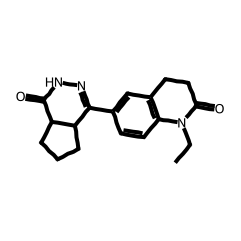 CCN1C(=O)CCc2cc(C3=NNC(=O)C4CCCC34)ccc21